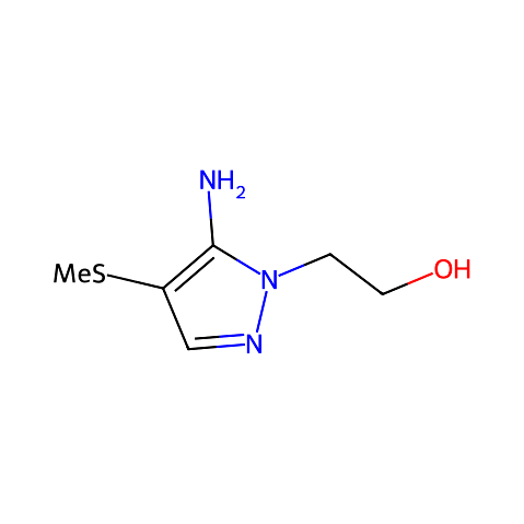 CSc1cnn(CCO)c1N